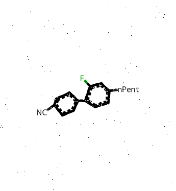 CCCCCc1ccc(-c2ccc(C#N)cc2)c(F)c1